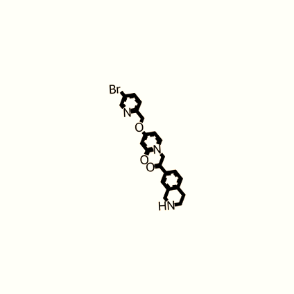 O=C(Cn1ccc(OCc2ccc(Br)cn2)cc1=O)c1ccc2c(c1)CNCC2